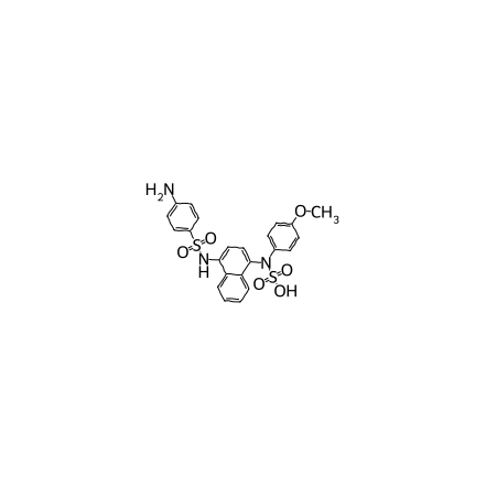 COc1ccc(N(c2ccc(NS(=O)(=O)c3ccc(N)cc3)c3ccccc23)S(=O)(=O)O)cc1